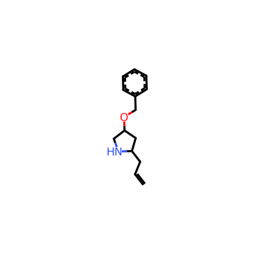 C=CCC1CC(OCc2ccccc2)CN1